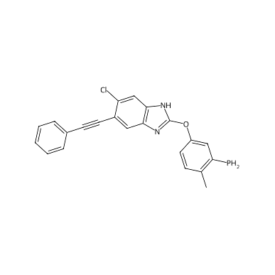 Cc1ccc(Oc2nc3cc(C#Cc4ccccc4)c(Cl)cc3[nH]2)cc1P